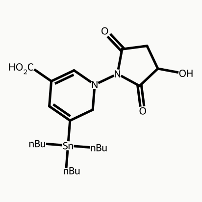 CCC[CH2][Sn]([CH2]CCC)([CH2]CCC)[C]1=CC(C(=O)O)=CN(N2C(=O)CC(O)C2=O)C1